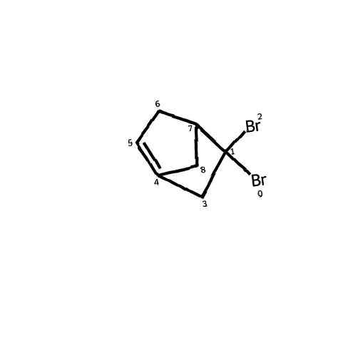 BrC1(Br)CC2=CCC1C2